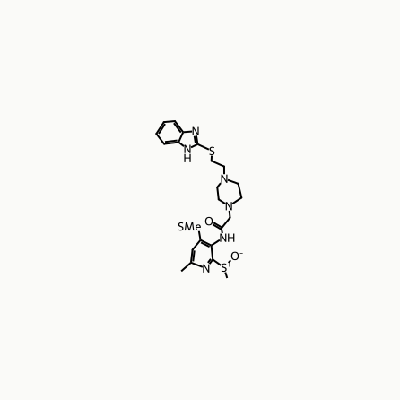 CSc1cc(C)nc([S+](C)[O-])c1NC(=O)CN1CCN(CCSc2nc3ccccc3[nH]2)CC1